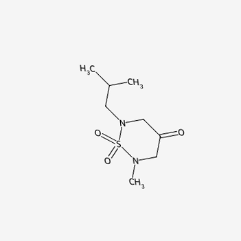 CC(C)CN1CC(=O)CN(C)S1(=O)=O